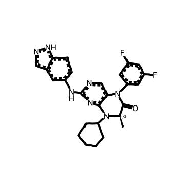 C[C@@H]1C(=O)N(c2cc(F)cc(F)c2)c2cnc(Nc3ccc4[nH]ncc4c3)nc2N1C1CCCCC1